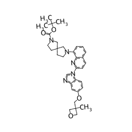 CC1(COc2ccc3c(c2)ncn3-c2ccc3cccc(N4CCC5(CCN(C(=O)OC(C)(C)C)C5)C4)c3n2)COC1